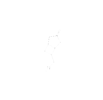 C=C1CC2CC(CN)C2C1